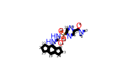 CN(C)C(=O)c1cnc(S(=O)(=O)NC(=O)Nc2c3c(cc4c2CCC4)CCC3)cn1